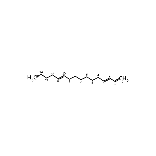 C=CC=CCCCCCCC=CCCCC